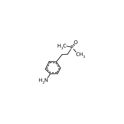 CP(C)(=O)CCc1ccc(N)cc1